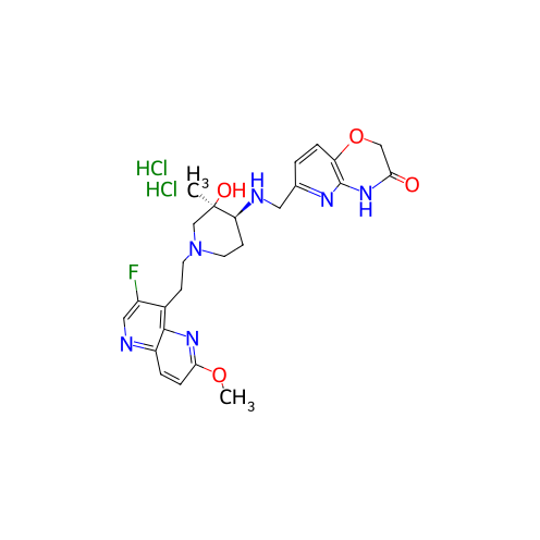 COc1ccc2ncc(F)c(CCN3CC[C@H](NCc4ccc5c(n4)NC(=O)CO5)[C@](C)(O)C3)c2n1.Cl.Cl